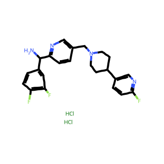 Cl.Cl.NC(c1ccc(F)c(F)c1)c1ccc(CN2CCC(c3ccc(F)nc3)CC2)cn1